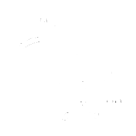 NC(=O)C1=CCC(C(=O)O)([N+](=O)[O-])C=C1